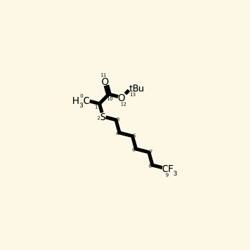 CC(SCCCCCCC(F)(F)F)C(=O)OC(C)(C)C